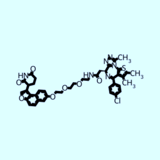 Cc1sc2c(c1C)C(c1ccc(Cl)cc1)=N[C@@H](CC(=O)NCCOCCOCCOc1ccc3c(ccc4occ(C5CCC(=O)NC5=O)c43)c1)c1nnc(C)n1-2